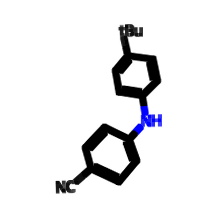 CC(C)(C)c1ccc(Nc2ccc(C#N)cc2)cc1